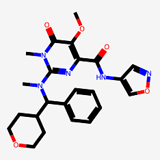 COc1c(C(=O)Nc2cnoc2)nc(N(C)C(c2ccccc2)C2CCOCC2)n(C)c1=O